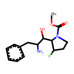 CC(C)(C)OC(=O)N1CCC(F)C1C(O)C(N)Cc1ccccc1